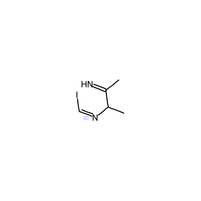 CC(=N)C(C)/N=C\I